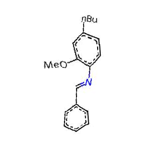 CCCCc1ccc(N=Cc2ccccc2)c(OC)c1